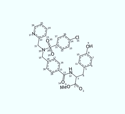 COC(=O)C(Cc1ccc(O)cc1)NC(=O)c1ccc(CN(Cc2ccccn2)S(=O)(=O)c2ccc(Cl)cc2)cc1